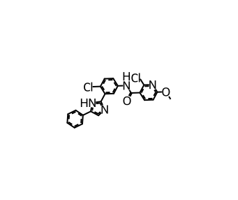 COc1ccc(C(=O)Nc2ccc(Cl)c(-c3ncc(-c4ccccc4)[nH]3)c2)c(Cl)n1